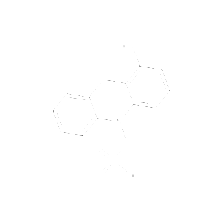 CCCCc1cccc2c1Sc1ccccc1N2OS(=O)(=O)CCC